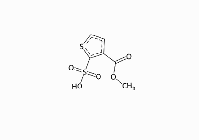 COC(=O)c1ccsc1S(=O)(=O)O